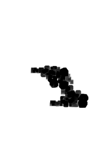 CNC(C)C(=O)NC(C(=O)N1CCc2ccccc2[C@H]1C(=O)N(Cc1ccc(C(=O)N[C@H]2C[C@@H](C(=O)N[C@@H]3CCCc4ccccc43)N(C(=O)C(NC(=O)C(C)NC)C(C)(C)C)C2)cc1)[C@H](C)c1ccccc1F)C(C)(C)C